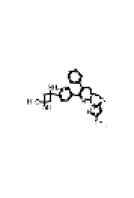 Cc1cc2ncc3cc(-c4cc[c]cc4)c(-c4ccc(C5(N)CC(C)(O)C5)cc4)nc3n2n1